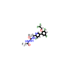 C[C@@H](NC(=O)NNC(=O)C(F)(F)F)c1ncc(-c2cc(F)cc(F)c2OCC(F)F)cc1F